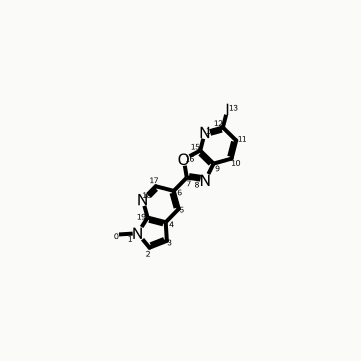 Cn1ccc2cc(-c3nc4ccc(I)nc4o3)cnc21